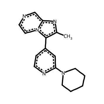 Cc1nc2cnccn2c1-c1ccnc(N2CCCCC2)c1